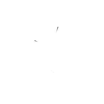 CCC[C@H]1CCCC[C@H](NC(=O)OC(C)(C)C)C(=O)O[C@@H](C)[C@@H]1OCC(C)C